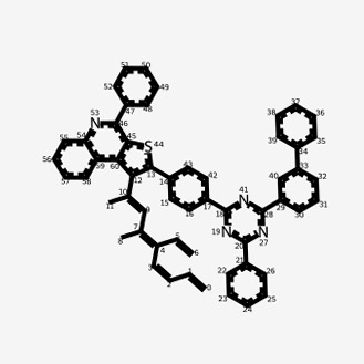 C=C\C=C/C(C=C)=C(C)/C=C(\C)c1c(-c2ccc(-c3nc(-c4ccccc4)nc(-c4cccc(-c5ccccc5)c4)n3)cc2)sc2c(-c3ccccc3)nc3ccccc3c12